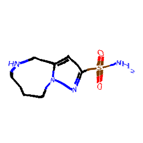 NS(=O)(=O)c1cc2n(n1)CCCNC2